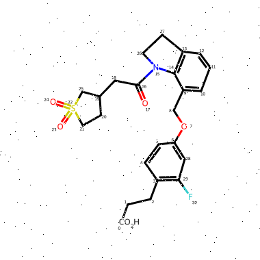 O=C(O)CCc1ccc(OCc2cccc3c2N(C(=O)CC2CCS(=O)(=O)C2)CC3)cc1F